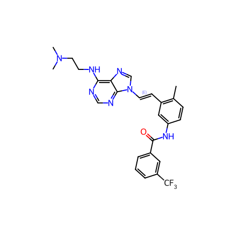 Cc1ccc(NC(=O)c2cccc(C(F)(F)F)c2)cc1/C=C/n1cnc2c(NCCN(C)C)ncnc21